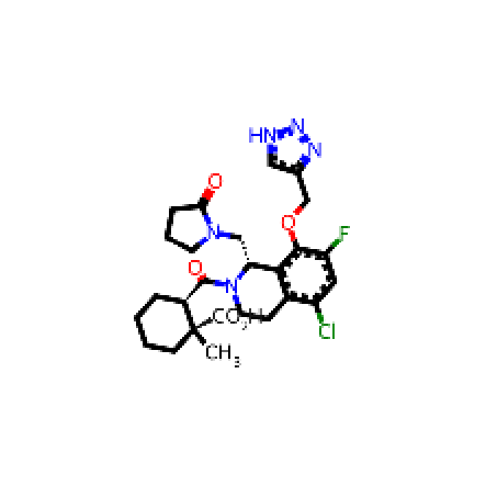 C[C@]1(C(=O)O)CCCC[C@H]1C(=O)N1CCc2c(Cl)cc(F)c(OCc3c[nH]nn3)c2[C@H]1CN1CCCC1=O